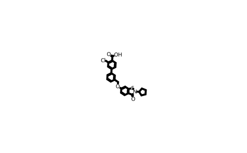 O=C(O)c1ccc(-c2cccc(COc3ccc4c(=O)n(C5CCCC5)sc4c3)c2)cc1Cl